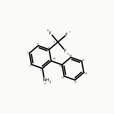 Nc1cccc(C(F)(F)F)c1-c1ccccc1